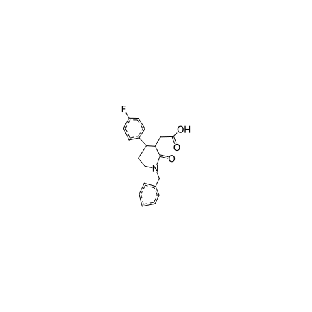 O=C(O)CC1C(=O)N(Cc2ccccc2)CCC1c1ccc(F)cc1